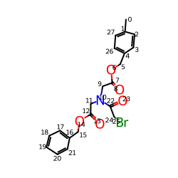 Cc1ccc(COC(=O)CN(CC(=O)OCc2ccccc2)C(=O)CBr)cc1